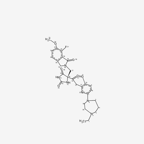 CCN1CCCN(c2ccc(O)c(CC(=O)[C@]3(CN4Cc5ccc(OC)c(F)c5C4=O)NC(=O)NC3=O)n2)CC1